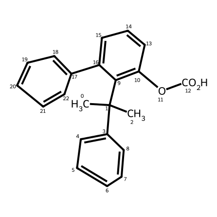 CC(C)(c1ccccc1)c1c(OC(=O)O)cccc1-c1ccccc1